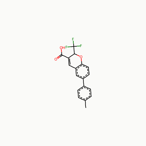 Cc1ccc(-c2ccc3c(c2)C=C(C(=O)O)C(C(F)(F)F)O3)cc1